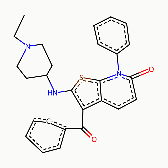 CCN1CCC(Nc2sc3c(ccc(=O)n3-c3ccccc3)c2C(=O)c2ccccc2)CC1